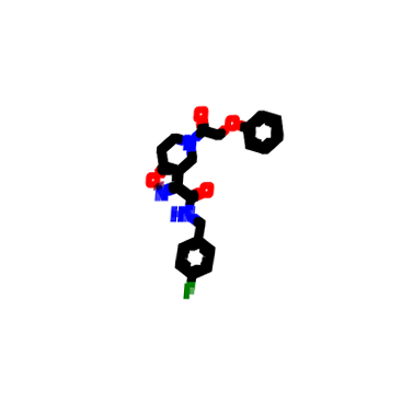 O=C(NCc1ccc(F)cc1)c1noc2c1CN(C(=O)COc1ccccc1)CC2